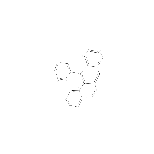 C=Cc1cc2ccccc2c(-c2ccccc2)c1-c1ccccc1